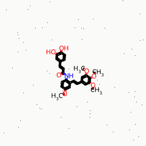 COc1ccc(NC(=O)/C=C/c2ccc(O)c(O)c2)c(C=Cc2cc(OC)c(OC)c(OC)c2)c1